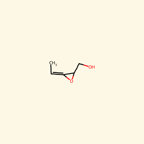 CC=C1OC1CO